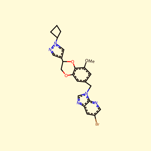 COc1cc(Cn2cnc3cc(Br)cnc32)cc2c1OC(c1cnn(C3CCC3)c1)CO2